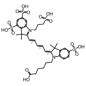 CC1(C)C(/C=C/C=C/C=C2/N(CCCCCC(=O)O)c3ccc(S(=O)(=O)O)cc3C2(C)C)=[N+](CCCS(=O)(=O)O)c2cc(S(=O)(=O)O)cc(S(=O)(=O)O)c21